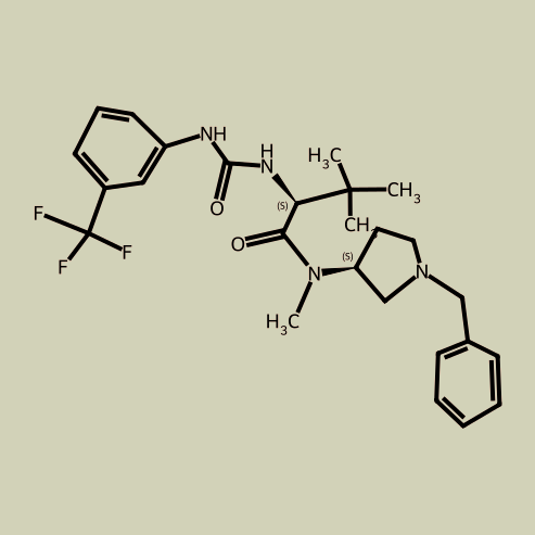 CN(C(=O)[C@@H](NC(=O)Nc1cccc(C(F)(F)F)c1)C(C)(C)C)[C@H]1CCN(Cc2ccccc2)C1